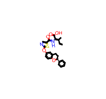 CCC(C)[C@H](NC(=O)c1cnc(Oc2ccc3c(c2)CC[C@@H](c2ccccc2)O3)s1)C(=O)O